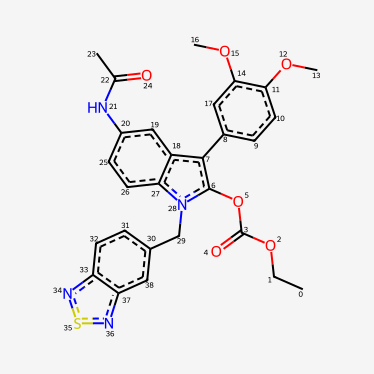 CCOC(=O)Oc1c(-c2ccc(OC)c(OC)c2)c2cc(NC(C)=O)ccc2n1Cc1ccc2nsnc2c1